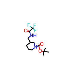 CC(C)(C)OC(=O)N1CCCC(CNC(=O)C(F)(F)F)C1